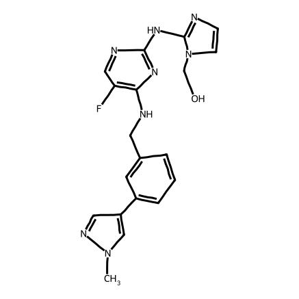 Cn1cc(-c2cccc(CNc3nc(Nc4nccn4CO)ncc3F)c2)cn1